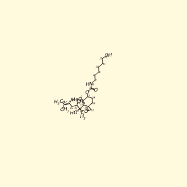 COC1C(OC(=O)NCCCCCCO)CC[C@]2(CO2)C1C(C)(O)[C@H](C)CC=C(C)C